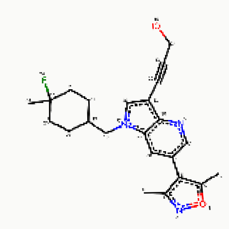 Cc1noc(C)c1-c1cnc2c(C#CCO)cn(CC3CCC(C)(F)CC3)c2c1